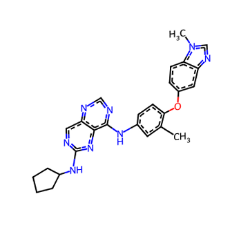 Cc1cc(Nc2ncnc3cnc(NC4CCCC4)nc23)ccc1Oc1ccc2c(c1)ncn2C